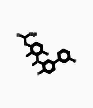 CCC(Oc1ccc(F)c(N(C)c2cc(-c3cccc(F)c3)ccc2F)c1C)C(=O)O